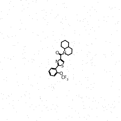 O=C(c1csc(-c2ccccc2OC(F)(F)F)n1)N1CCCC2CCCCC21